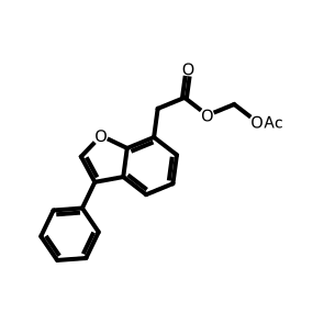 CC(=O)OCOC(=O)Cc1cccc2c(-c3ccccc3)coc12